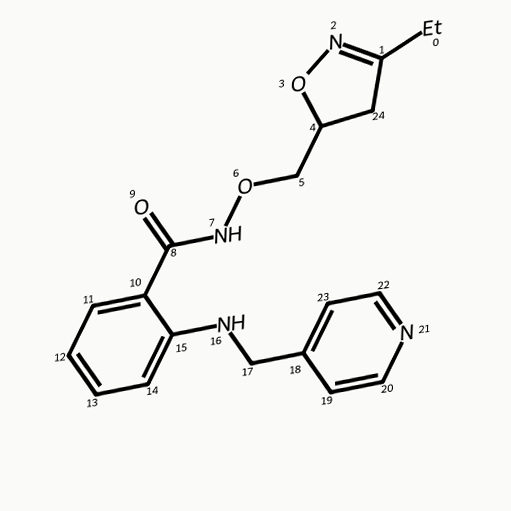 CCC1=NOC(CONC(=O)c2ccccc2NCc2ccncc2)C1